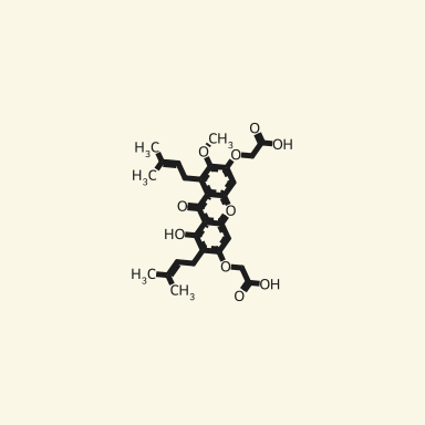 COc1c(OCC(=O)O)cc2oc3cc(OCC(=O)O)c(CC=C(C)C)c(O)c3c(=O)c2c1CC=C(C)C